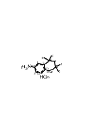 CC1(C)CC(C)(C)c2cc(N)ccc2S1.Cl